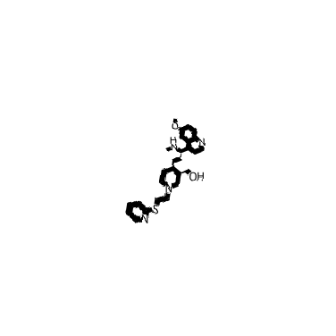 CN[C@@H](CC[C@@H]1CCN(CCSc2ccccn2)C[C@@H]1CO)c1ccnc2ccc(OC)cc12